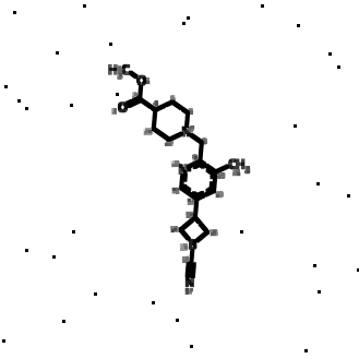 COC(=O)C1CCN(Cc2ncc(C3CB(C#N)C3)cc2C)CC1